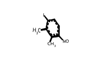 Cc1c(I)ccc(N=O)c1C